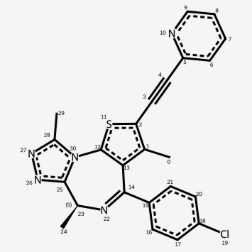 Cc1c(C#Cc2ccccn2)sc2c1C(c1ccc(Cl)cc1)=N[C@@H](C)c1nnc(C)n1-2